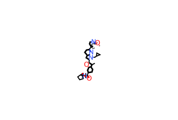 COc1cc(-c2ccc3cc(-c4oc5cc(C(=O)N6CC7CCC6[C@@H]7C)ccc5c4C)n(CC4CC4)c3n2)ccn1